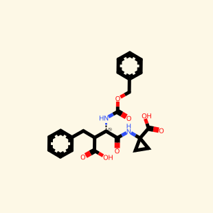 O=C(N[C@H](C(=O)NC1(C(=O)O)CC1)C(Cc1ccccc1)C(=O)O)OCc1ccccc1